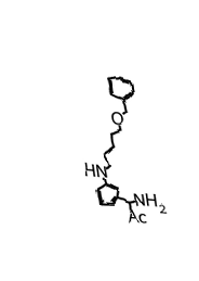 CC(=O)C(N)c1cccc(NCCCCCOCc2ccccc2)c1